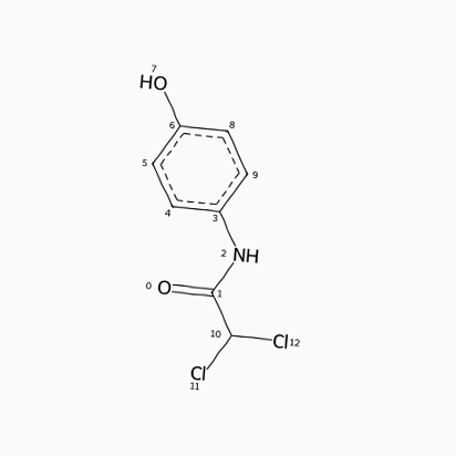 O=C(Nc1ccc(O)cc1)C(Cl)Cl